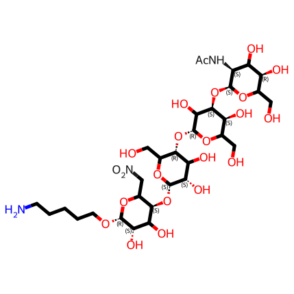 CC(=O)N[C@H]1C(O)[C@@H](O)C(CO)O[C@H]1O[C@@H]1C(O)[C@@H](O[C@H]2C(CO)O[C@@H](O[C@@H]3C(C[N+](=O)[O-])O[C@@H](OCCCCCN)[C@@H](O)C3O)[C@@H](O)C2O)OC(CO)[C@@H]1O